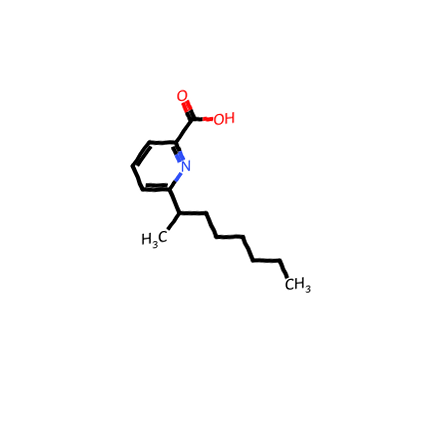 CCCCCCC(C)c1cccc(C(=O)O)n1